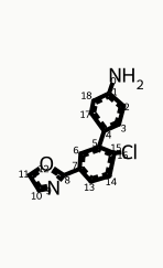 Nc1ccc(-c2cc(-c3ncco3)ccc2Cl)cc1